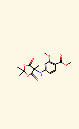 COC(=O)c1ccc(NC2(C)C(=O)OC(C)(C)OC2=O)cc1OC